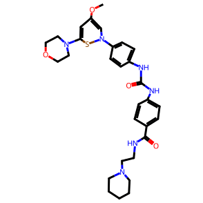 COC1=CN(c2ccc(NC(=O)Nc3ccc(C(=O)NCCN4CCCCC4)cc3)cc2)SC(N2CCOCC2)=C1